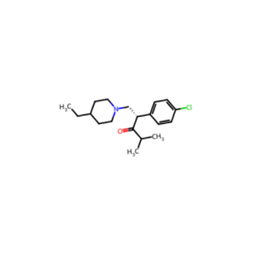 CCC1CCN(C[C@@H](C(=O)C(C)C)c2ccc(Cl)cc2)CC1